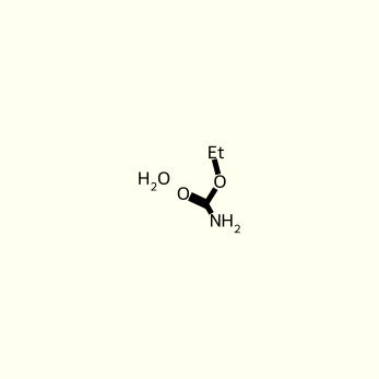 CCOC(N)=O.O